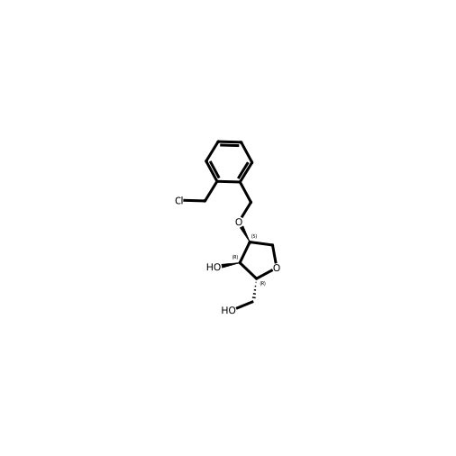 OC[C@H]1OC[C@H](OCc2ccccc2CCl)[C@@H]1O